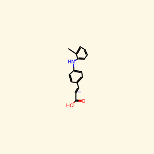 Cc1ccccc1Nc1ccc(/C=C/C(=O)O)cc1